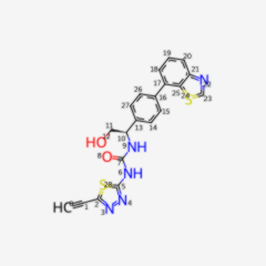 C#Cc1nnc(NC(=O)N[C@@H](CO)c2ccc(-c3cccc4ncsc34)cc2)s1